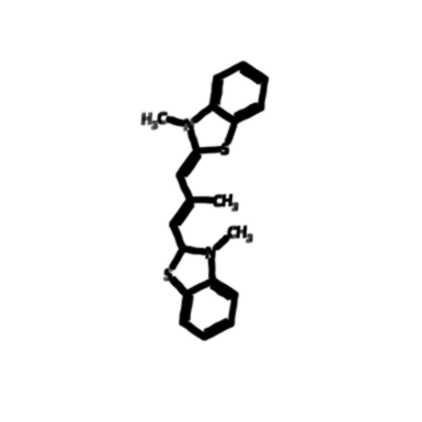 CC(/C=C1\Sc2ccccc2N1C)=C\C1Sc2ccccc2N1C